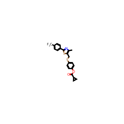 Cc1nc(-c2ccc(C(F)(F)F)cc2)sc1CSc1ccc(OC(=O)C2CC2)cc1